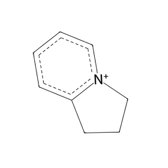 c1cc[n+]2c(c1)CCC2